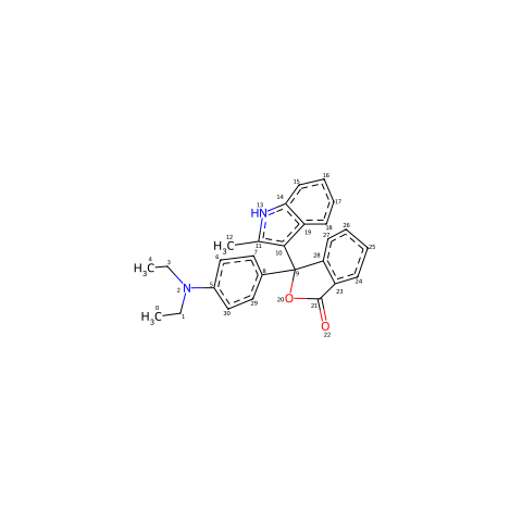 CCN(CC)c1ccc(C2(c3c(C)[nH]c4ccccc34)OC(=O)c3ccccc32)cc1